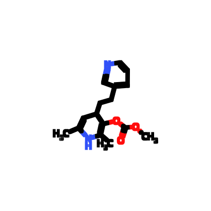 COC(=O)OC1=C(C)NC(C)=CC1CCc1cccnc1